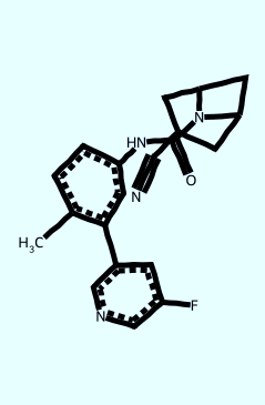 Cc1ccc(NC(=O)N2C3CC(C#N)CC2C3)cc1-c1cncc(F)c1